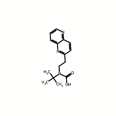 CC(C)(C)N(CCc1ccc2ncccc2n1)C(=O)O